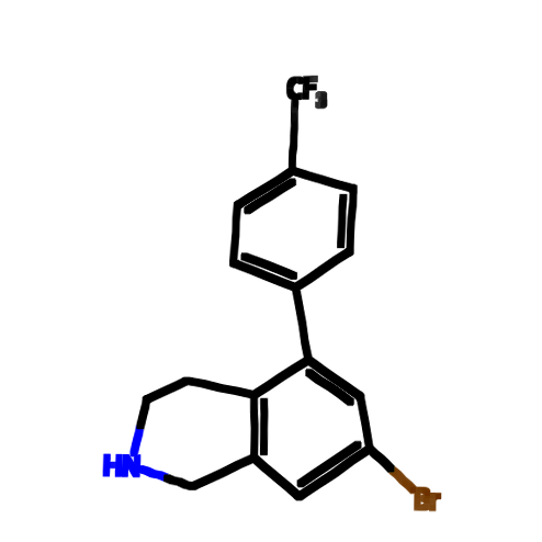 FC(F)(F)c1ccc(-c2cc(Br)cc3c2CCNC3)cc1